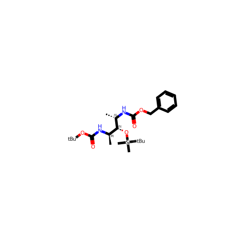 C[C@H](NC(=O)OCc1ccccc1)[C@H](O[Si](C)(C)C(C)(C)C)[C@@H](C)NC(=O)OC(C)(C)C